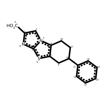 O=C(O)c1cn2c3c(sc2n1)CC(c1ccccc1)CC3